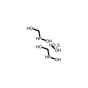 O=S(=O)(O)O.OCPO.OCPO